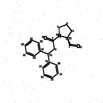 O=C[C@@H]1CCCN1C(=O)CC(c1ccccc1)c1ccccc1